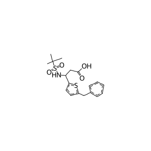 CC(C)(C)S(=O)(=O)NC(CC(=O)O)c1ccc(Cc2ccccc2)s1